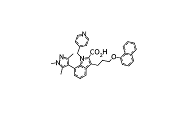 Cc1nn(C)c(C)c1-c1cccc2c(CCCOc3cccc4ccccc34)c(C(=O)O)n(Cc3ccncc3)c12